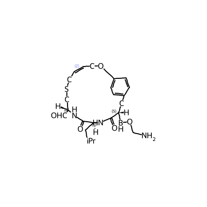 CC(C)C[C@@H]1NC(=O)[C@@H](BOCN)Cc2ccc(cc2)OC/C=C\CSC[C@@H](C=O)NC1=O